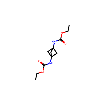 CCOC(=O)NC12CC(NC(=O)OCC)(C1)C2